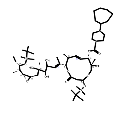 CC[C@H](O[Si](C)(C)C(C)(C)C)[C@@H](C)[C@H]1O[C@@H]1C[C@@](C)(O)C(O)C(O)/C=C(\C)[C@H]1OC(=O)C[C@H](O[Si](C)(C)C(C)(C)C)CC[C@@](C)(O)[C@@H](OC(=O)N2CCN(C3CCCCCC3)CC2)/C=C/[C@@H]1C